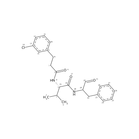 CC(C)[C@H](NC(=O)CCc1cccc(Cl)c1)C(=O)NC(C=O)Cc1ccccc1